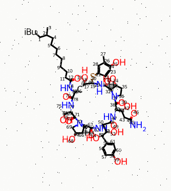 CCC(C)CC(C)CCCCCCCCC(=O)N[C@H]1C[C@@H](O)[C@@H](Sc2ccc(O)c(C)c2)NC(=O)[C@@H]2[C@@H](O)CCN2C(=O)[C@H]([C@H](O)CC(N)=O)NC(=O)[C@H]([C@H](O)[C@@H](O)c2ccc(O)cc2)NC(=O)[C@@H]2C[C@@H](O)CN2C(=O)[C@H]([C@@H](C)O)NC1=O